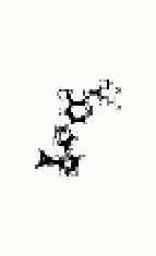 CC(C)Oc1ncc(-n2cc(-n3ccnc3C3CC3)nn2)cc1Cl